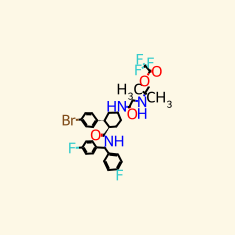 CC(C)(COC(=O)C(F)(F)F)NCC(=O)N[C@@H]1CC[C@@H](C(=O)NC(c2ccc(F)cc2)c2ccc(F)cc2)[C@H](c2ccc(Br)cc2)C1